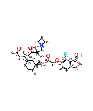 CC(=O)CC[C@]12CC[C@@H](C)[C@](C)(C1)[C@H](OC(=O)COc1ccc3c(c1F)B(O)OC3)C[C@@](C)(CN1CCC1)[C@@H](O)[C@@H]2C